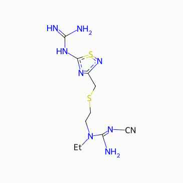 CCN(CCSCc1nsc(NC(=N)N)n1)C(N)=NC#N